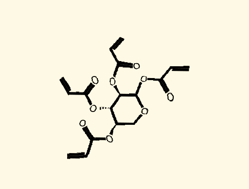 C=CC(=O)OC1OC[C@@H](OC(=O)C=C)[C@H](OC(=O)C=C)[C@H]1OC(=O)C=C